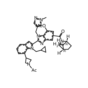 COc1cc(C(=O)N2C[C@H]3CC[C@@H]2[C@@H]3N)cc2nc(-c3cc4cccc(C5CN(C(C)=O)C5)c4n3CC3CC3)n(Cc3cnn(C)c3)c12